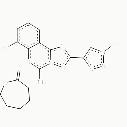 COc1cccc2c1nc(N[C@@H]1CCCCNC1=O)n1nc(-c3cn(C)nn3)nc21